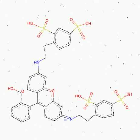 O=C(O)c1ccccc1-c1c2cc/c(=N/CCc3ccc(S(=O)(=O)O)cc3S(=O)(=O)O)cc-2oc2cc(NCCc3ccc(S(=O)(=O)O)cc3S(=O)(=O)O)ccc12